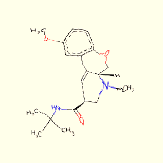 COc1ccc2c(c1)C1=C[C@H](C(=O)NC(C)(C)C)CN(C)[C@H]1CO2